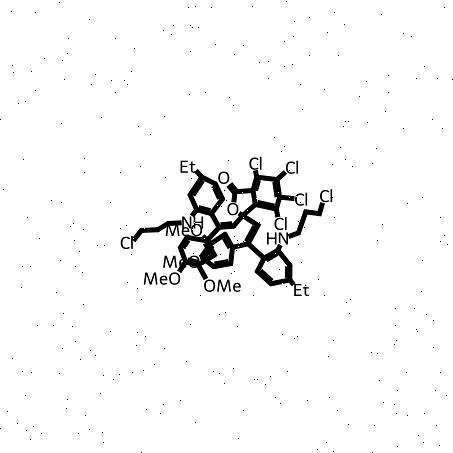 CCc1ccc(C(=CC2(C=C(c3ccc(OC)c(OC)c3)c3ccc(CC)cc3NCCCCl)OC(=O)c3c(Cl)c(Cl)c(Cl)c(Cl)c32)c2ccc(OC)c(OC)c2)c(NCCCCl)c1